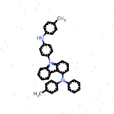 Cc1ccc(Nc2ccc(-n3c4ccccc4c4c(N(c5ccccc5)c5ccc(C)cc5)cccc43)cc2)cc1